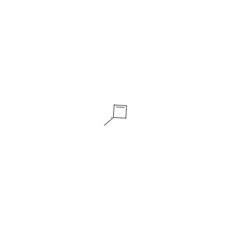 C[C]1C=CC1